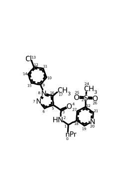 CCCC(NC(=O)c1cnn(-c2ccc(Cl)cc2)c1C)c1cncc(S(C)(=O)=O)c1